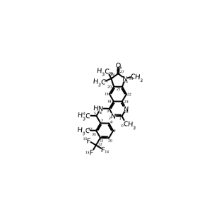 Cc1nc(NC(C)c2cccc(C(F)(F)F)c2C)c2cc3c(cc2n1)N(C)C(=O)C3(C)C